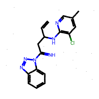 C=CC(CC(=N)n1nnc2ccccc21)Nc1ncc(C)cc1Cl